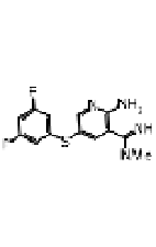 CNC(=N)c1cc(Sc2cc(F)cc(F)c2)cnc1N